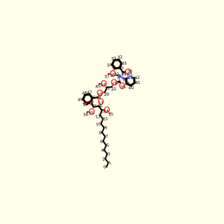 CCCCCCCCCCCCCC(OC)C(OC(OCC(COC(=O)[N+](C)(C(=O)c1ccccc1OC)c1ccccn1)OC)c1ccccc1)C(CC)OC